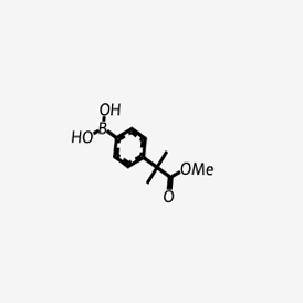 COC(=O)C(C)(C)c1ccc(B(O)O)cc1